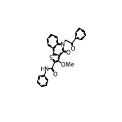 COc1c(C(=O)Nc2ccccc2)sc2c1c(=O)n(CC(=O)c1ccccc1)c1ccccc21